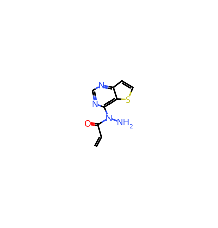 C=CC(=O)N(N)c1ncnc2ccsc12